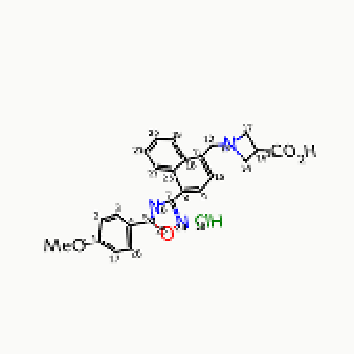 COc1ccc(-c2nc(-c3ccc(CN4CC(C(=O)O)C4)c4ccccc34)no2)cc1.Cl